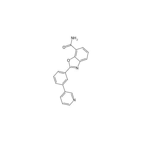 NC(=O)c1cccc2nc(-c3cccc(-c4cccnc4)c3)oc12